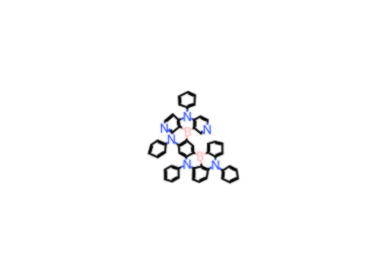 c1ccc(N2c3ccccc3B3c4cc5c(cc4N(c4ccccc4)c4cccc2c43)N(c2ccccc2)c2nccc3c2B5c2cnccc2N3c2ccccc2)cc1